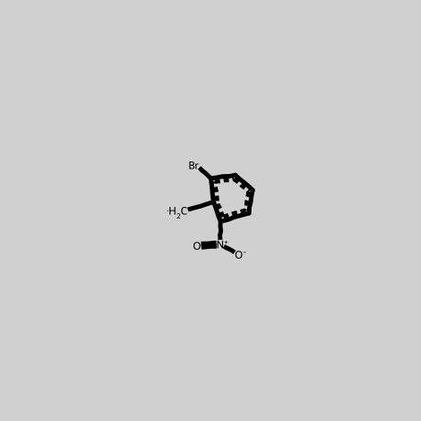 [CH2]c1c(Br)cccc1[N+](=O)[O-]